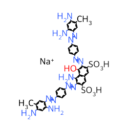 Cc1cc(N=Nc2ccc(N=Nc3c(S(=O)(=O)O)cc4cc(S(=O)(=O)O)c(N=Nc5ccc(N=Nc6cc(C)c(N)cc6N)cc5)c(O)c4c3N)cc2)c(N)cc1N.[Na+]